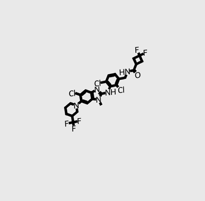 Cn1c(Nc2c(Cl)ccc(CNC(=O)C3CC(F)(F)C3)c2Cl)nc2cc(Cl)c(N3CCCC(C(F)(F)F)C3)cc21